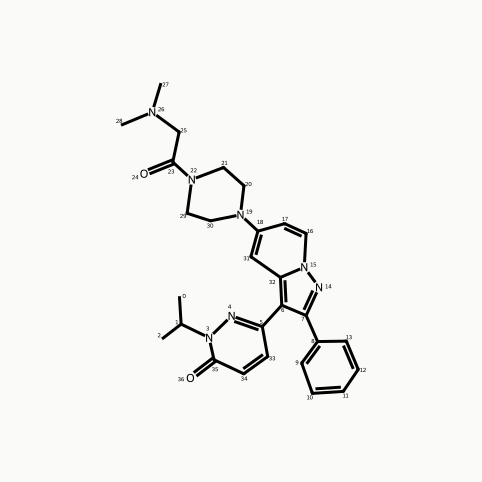 CC(C)n1nc(-c2c(-c3ccccc3)nn3ccc(N4CCN(C(=O)CN(C)C)CC4)cc23)ccc1=O